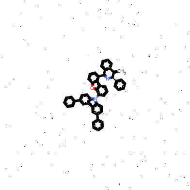 C=C1c2ccccc2C(c2cccc3oc4c(-n5c6ccc(-c7ccccc7)cc6c6cc(-c7ccccc7)ccc65)cccc4c23)=N[C@@H]1c1ccccc1